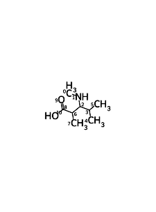 CNC(C(C)C)C(C)C(=O)O